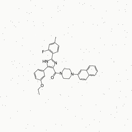 CCOc1cccc(-c2[nH]c(-c3ccc(C)cc3F)nc2C(=O)N2CCN(c3ccc4ccccc4c3)CC2)c1